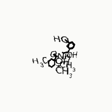 CC(C)[C@@H]1CC[C@@H](C)C[C@@]1(O)C(=O)NC[C@@H](O)c1cccc(O)c1